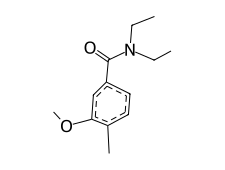 CCN(CC)C(=O)c1ccc(C)c(OC)c1